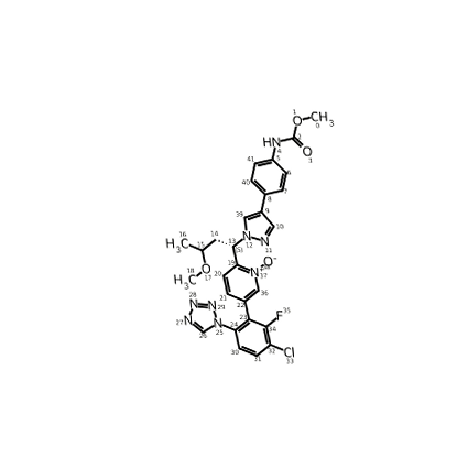 COC(=O)Nc1ccc(-c2cnn([C@@H](CC(C)OC)c3ccc(-c4c(-n5cnnn5)ccc(Cl)c4F)c[n+]3[O-])c2)cc1